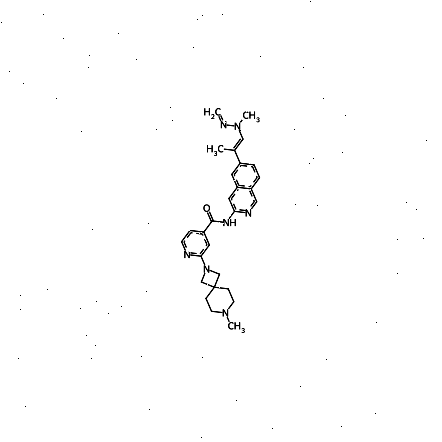 C=NN(C)/C=C(\C)c1ccc2cnc(NC(=O)c3ccnc(N4CC5(CCN(C)CC5)C4)c3)cc2c1